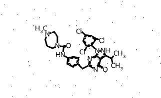 CC(C)c1[nH]n(-c2c(Cl)cc(Cl)cc2Cl)c2nc(Cc3ccc(NC(=O)N4CCCN(C)CC4)cc3)nc(=O)c1-2